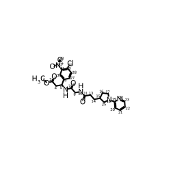 COC(=O)CC(NC(=O)CNC(=O)CCC1CCN(c2ccccn2)C1)c1ccc(Cl)c([N+](=O)[O-])c1